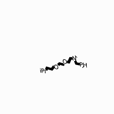 CPCN(C)CCOCCOCCCC(C)C